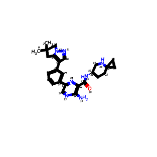 CC1(C)Cc2c(-c3cccc(-c4cnc(N)c(C(=O)N[C@H]5CCC6(CC6)NC5)n4)c3)cnn2C1